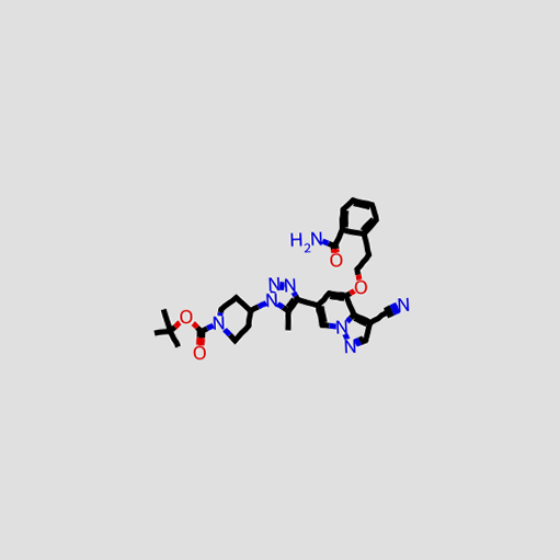 Cc1c(-c2cc(OCCc3ccccc3C(N)=O)c3c(C#N)cnn3c2)nnn1C1CCN(C(=O)OC(C)(C)C)CC1